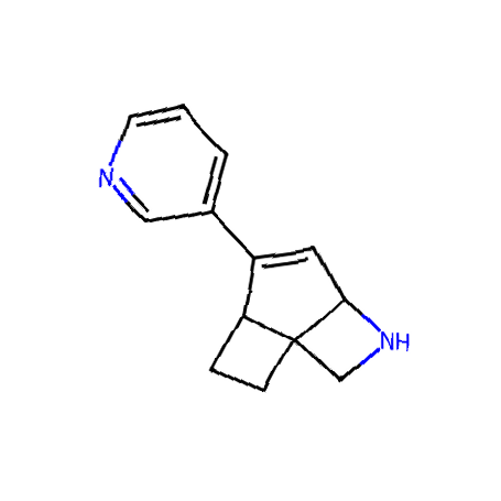 C1=C(c2cccnc2)C2CCC23CNC13